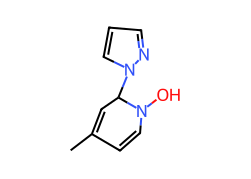 CC1=CC(n2cccn2)N(O)C=C1